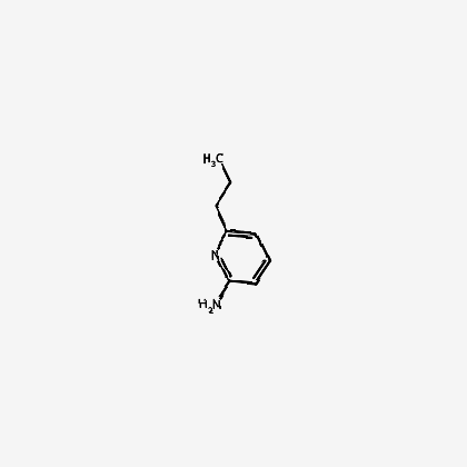 CCCc1cccc(N)n1